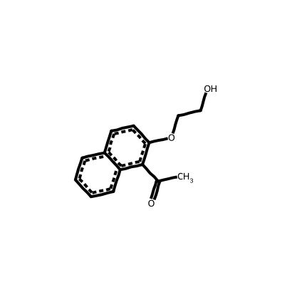 CC(=O)c1c(OCCO)ccc2ccccc12